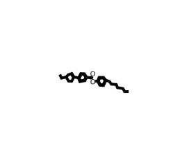 CCCCCCCc1ccc(OC(=O)c2ccc(C3=CCC(CC)CC3)cc2)cc1